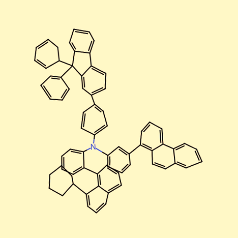 C1=CCC(C2(c3ccccc3)c3ccccc3-c3ccc(-c4ccc(N(c5cccc(-c6cccc7c6ccc6ccccc67)c5)c5ccccc5-c5cccc6cccc(C7CCCCC7)c56)cc4)cc32)C=C1